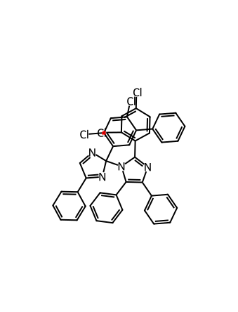 Clc1ccc(-c2nc(-c3ccccc3)c(-c3ccccc3)n2C2(c3cc(-c4ccccc4)c(Cl)cc3Cl)N=CC(c3ccccc3)=N2)c(Cl)c1